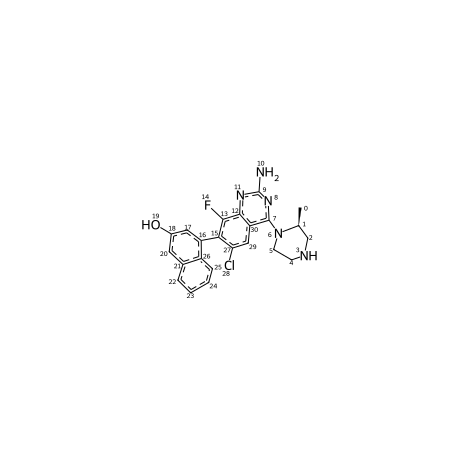 C[C@H]1CNCCN1c1nc(N)nc2c(F)c(-c3cc(O)cc4ccccc34)c(Cl)cc12